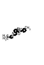 C[C@H]1CCC[C@@](O)(CNC(=O)c2c(Cl)ccc3nc(N4CCC(N(C)C)C4)ccc23)C1